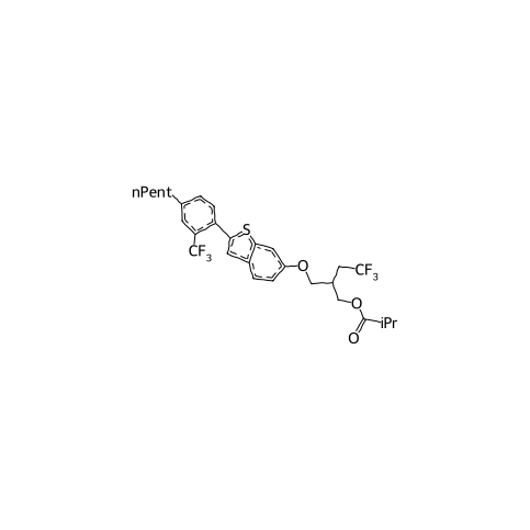 CCCCCc1ccc(-c2cc3ccc(OCC(COC(=O)C(C)C)CC(F)(F)F)cc3s2)c(C(F)(F)F)c1